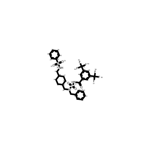 O=C(NS(=O)(=O)N(Cc1ccccc1)CC1CCC(CNS(=O)(=O)c2ccccc2)CC1)c1cc(C(F)(F)F)cc(C(F)(F)F)c1